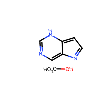 O=C(O)O.c1cc2[nH]cncc-2n1